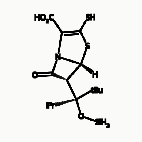 CC(C)[C@](O[SiH3])([C@@H]1C(=O)N2C(C(=O)O)=C(S)S[C@H]12)C(C)(C)C